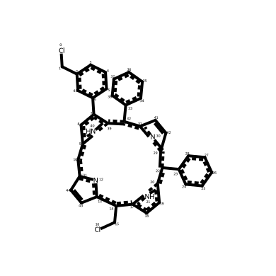 ClCc1cccc(-c2cc3cc4nc(c(CCl)c5ccc([nH]5)c(-c5ccccc5)c5nc(c(-c6ccccc6)c2[nH]3)C=C5)C=C4)c1